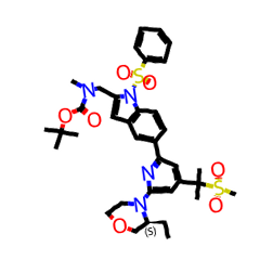 CC[C@H]1COCCN1c1cc(C(C)(C)S(C)(=O)=O)cc(-c2ccc3c(c2)cc(CN(C)C(=O)OC(C)(C)C)n3S(=O)(=O)c2ccccc2)n1